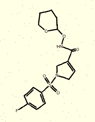 O=C(NOC1CCCCO1)C1=CCN(S(=O)(=O)c2ccc(F)cc2)C1